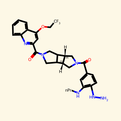 CCCNc1cc(C(=O)N2C[C@@H]3C4CN(C(=O)c5cc(OCC(F)(F)F)c6ccccc6n5)CC4[C@@H]3C2)ccc1NN